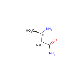 NC(=O)C[C@H](N)C(=O)O.[NaH]